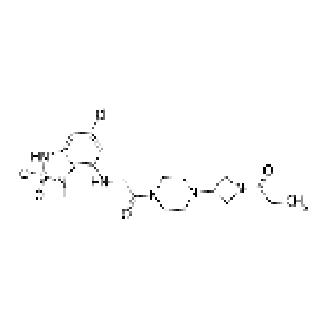 C=CC(=O)N1CC(N2CCN(C(=O)CNc3cc(Cl)cc4c3NS(=O)(=O)N4)CC2)C1